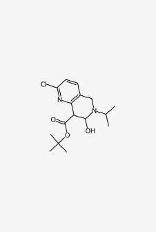 CC(C)N1Cc2ccc(Cl)nc2C(C(=O)OC(C)(C)C)C1O